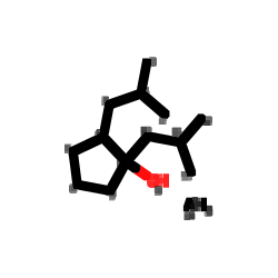 CC(C)CC1CCCC1(O)CC(C)C.[AlH3]